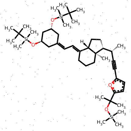 C[C@H](C#Cc1ccc(C(C)(C)O[Si](C)(C)C)o1)[C@H]1CC[C@H]2/C(=C/C=C3C[C@@H](O[Si](C)(C)C(C)(C)C)C[C@H](O[Si](C)(C)C(C)(C)C)C3)CCC[C@]12C